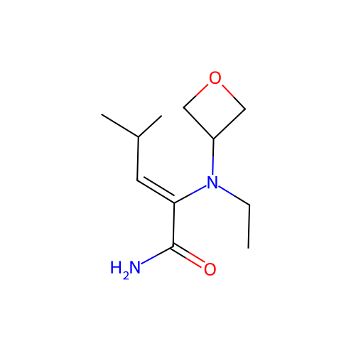 CCN(/C(=C\C(C)C)C(N)=O)C1COC1